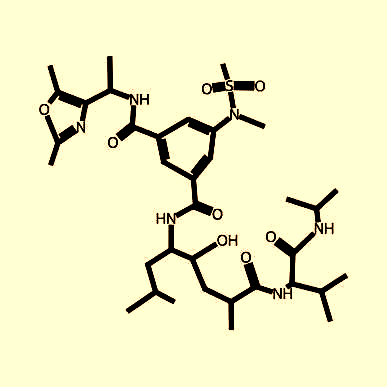 Cc1nc(C(C)NC(=O)c2cc(C(=O)NC(CC(C)C)C(O)CC(C)C(=O)NC(C(=O)NC(C)C)C(C)C)cc(N(C)S(C)(=O)=O)c2)c(C)o1